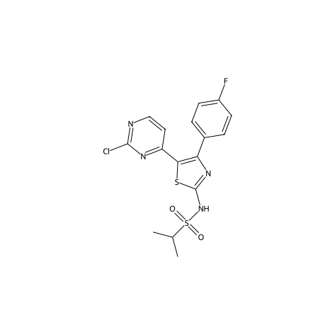 CC(C)S(=O)(=O)Nc1nc(-c2ccc(F)cc2)c(-c2ccnc(Cl)n2)s1